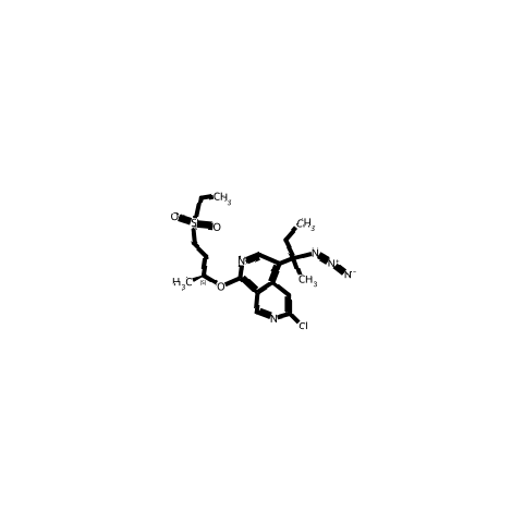 CCC(C)(N=[N+]=[N-])c1cnc(O[C@@H](C)CCS(=O)(=O)CC)c2cnc(Cl)cc12